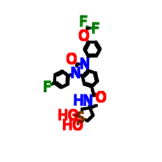 CC1(NC(=O)c2ccc3c(c2)n(-c2ccc(F)cc2)c(=O)n3-c2cccc(OC(F)F)c2)CCS(O)(O)C1